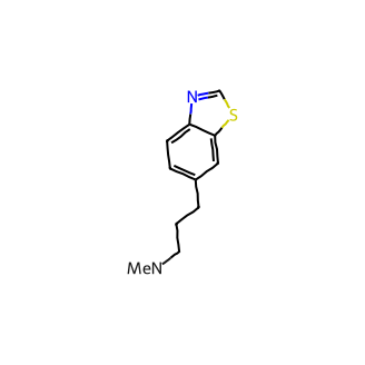 CNCCCc1ccc2ncsc2c1